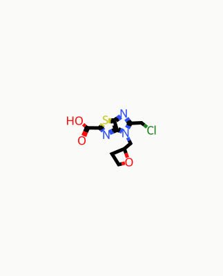 O=C(O)c1nc2c(nc(CCl)n2CC2CCO2)s1